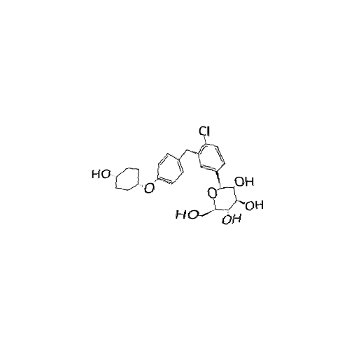 OC[C@H]1O[C@@H](c2ccc(Cl)c(Cc3ccc(O[C@H]4CC[C@@H](O)CC4)cc3)c2)[C@H](O)[C@@H](O)[C@@H]1O